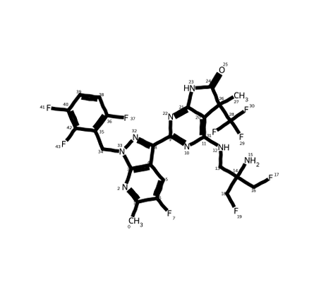 Cc1nc2c(cc1F)c(-c1nc(NCC(N)(CF)CF)c3c(n1)NC(=O)C3(C)C(F)(F)F)nn2Cc1c(F)ccc(F)c1F